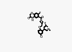 C=N/C=C(\C=C(/C)F)c1cc(Cl)ccc1OCC1CN(C(=O)c2cc3c(cc2F)OCC(=O)N3)C1